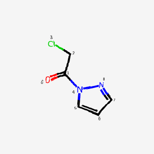 O=C(CCl)n1cccn1